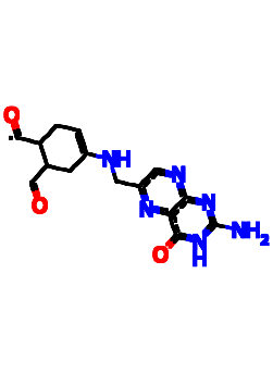 Nc1nc2ncc(CNC3=CCC([C]=O)C(C=O)C3)nc2c(=O)[nH]1